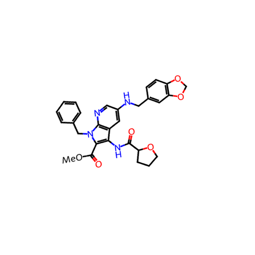 COC(=O)c1c(NC(=O)C2CCCO2)c2cc(NCc3ccc4c(c3)OCO4)cnc2n1Cc1ccccc1